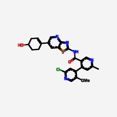 COc1cnc(Cl)cc1-c1cc(C)ncc1C(=O)Nc1nc2ncc(C3=CCC(O)CC3)cc2s1